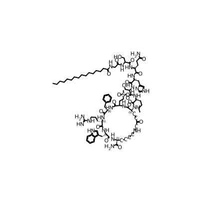 CCCCCCCCCCCCCCCC(=O)NCC(=O)NC(CO)C(=O)N[C@@H](CCC(N)=O)C(=O)N[C@@H](Cc1c[nH]cn1)C(=O)NC(CO)C(=O)N[C@@H](CCCC)C(=O)N[C@H]1CCC(=O)CNCCCC[C@@H](C(N)=O)NC(=O)[C@H](Cc2c[nH]c3ccccc23)NC(=O)[C@H](CCCNC(=N)N)NC(=O)[C@@H](Cc2ccccc2)NC(=O)C(CCS(C)(=O)=O)NC1=O